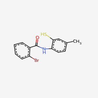 Cc1ccc(NC(=O)c2ccccc2Br)c(S)c1